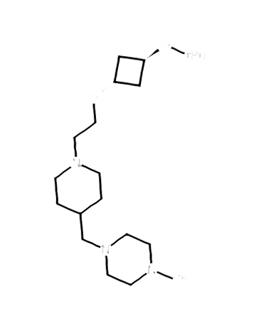 CC(C)N1CCN(CC2CCN(CCO[C@H]3C[C@H](OC(C)(C)C)C3)CC2)CC1